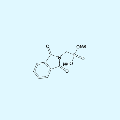 COP(=O)(CN1C(=O)c2ccccc2C1=O)OC